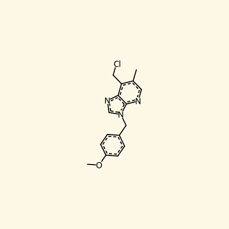 COc1ccc(Cn2cnc3c(CCl)c(C)cnc32)cc1